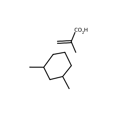 C=C(C)C(=O)O.CC1CCCC(C)C1